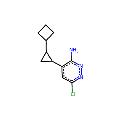 Nc1nnc(Cl)cc1C1CC1C1CCC1